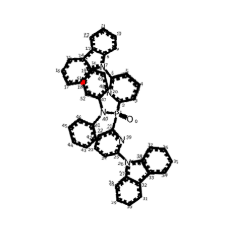 O=P(c1cccc(-n2c3ccccc3c3ccccc32)n1)(c1cccc(-n2c3ccccc3c3ccccc32)n1)N(c1ccccc1)c1ccccc1